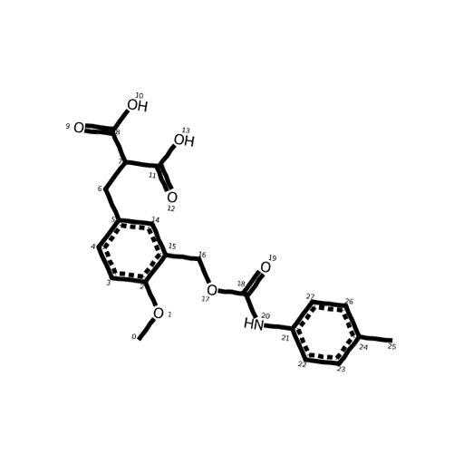 COc1ccc(CC(C(=O)O)C(=O)O)cc1COC(=O)Nc1ccc(C)cc1